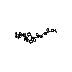 CCC(=O)CCOCCCNC(=O)CCC(=O)N1Cc2ccccc2-c2c(nnn2CCNC(C)C)-c2ccccc21